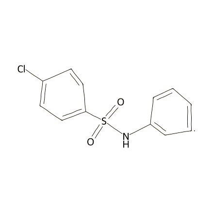 O=S(=O)(Nc1c[c]ccc1)c1ccc(Cl)cc1